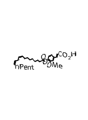 CCCCC/C=C\C/C=C\CCCCCCCC(=O)Oc1ccc(/C=C/C(=O)O)cc1OC